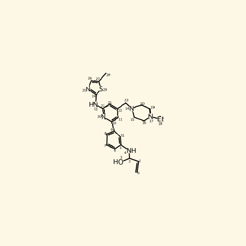 C=CC(O)Nc1cccc(-c2cc(CN3CCN(CC)CC3)cc(Nc3ncc(C)s3)n2)c1